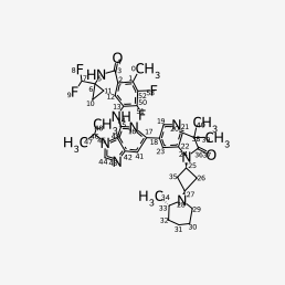 Cc1c(C(=O)NC2(C(F)F)CC2)cc(Nc2nc(-c3cnc4c(c3)N([C@H]3C[C@@H](N5CCCC[C@@H]5C)C3)C(=O)C4(C)C)cc3ncn(C(C)C)c23)c(F)c1F